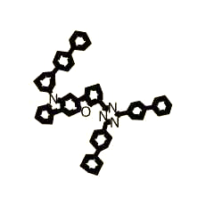 c1ccc(-c2ccc(-c3cccc(-n4c5ccccc5c5cc6oc7c(-c8nc(-c9ccc(-c%10ccccc%10)cc9)nc(-c9ccc(-c%10ccccc%10)cc9)n8)cccc7c6cc54)c3)cc2)cc1